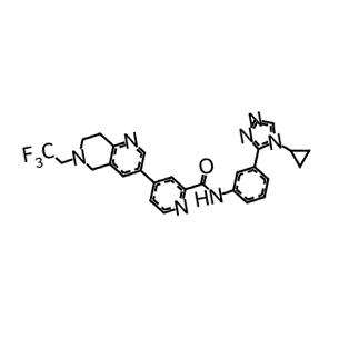 O=C(Nc1cccc(-c2nncn2C2CC2)c1)c1cc(-c2cnc3c(c2)CN(CC(F)(F)F)CC3)ccn1